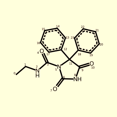 CCNC(=O)N1C(=O)NC(=O)C1(c1ccccc1)c1ccccc1